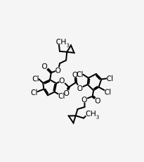 CCC1(CCOC(=O)c2c(Cl)c(Cl)cc(Cl)c2OC(=O)C(=O)Oc2c(Cl)cc(Cl)c(Cl)c2C(=O)OCCC2(CC)CC2)CC1